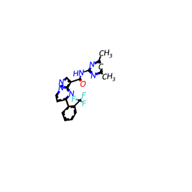 Cc1cc(C)nc(NC(=O)c2cnn3ccc(-c4ccccc4C(F)(F)F)nc23)n1